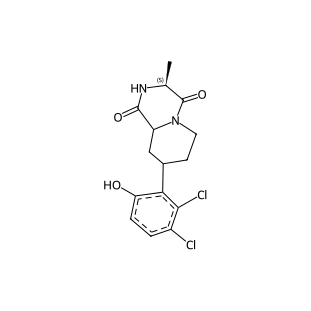 C[C@@H]1NC(=O)C2CC(c3c(O)ccc(Cl)c3Cl)CCN2C1=O